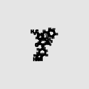 Cc1cc(C(=O)N(C2CC2)C2CCc3n[nH]cc3C2)c(C)n1CC1=CCCC=C1